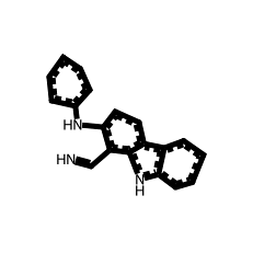 N=Cc1c(Nc2ccccc2)ccc2c1[nH]c1ccccc12